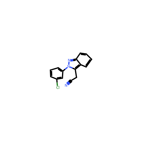 N#CCc1c2ccccc2nn1-c1cccc(Cl)c1